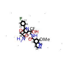 COc1cc(C(=O)NCC(O)(c2cc3c(c(-c4ccc(F)cc4)n2)OC[C@]3(C)C(N)=O)C(F)(F)F)cc2ccnnc12